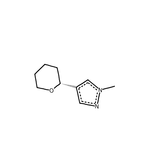 Cn1cc([C@H]2CCCCO2)cn1